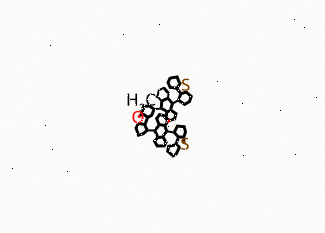 CC1CC=Cc2c1c(-c1ccc3oc4cccc(-c5c6ccccc6c(-c6cccc7sc8ccccc8c67)c6ccccc56)c4c3c1)c1ccccc1c2-c1cccc2sc3ccccc3c12